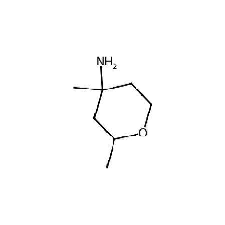 CC1CC(C)(N)CCO1